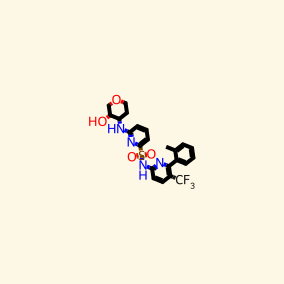 Cc1ccccc1-c1nc(NS(=O)(=O)c2cccc(NC3CCOCC3O)n2)ccc1C(F)(F)F